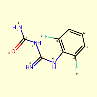 N=C(NC(N)=O)Nc1c(F)cccc1F